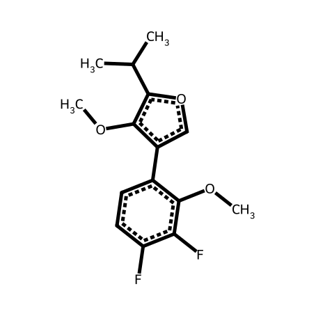 COc1c(-c2ccc(F)c(F)c2OC)coc1C(C)C